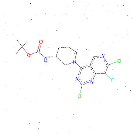 CC(C)(C)OC(=O)N[C@@H]1CCCN(c2nc(Cl)nc3c(F)c(Cl)ncc23)C1